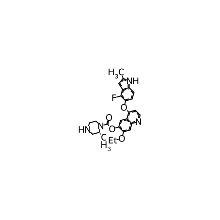 CCOc1cc2nccc(Oc3ccc4[nH]c(C)cc4c3F)c2cc1OC(=O)N1CCNC[C@H]1C